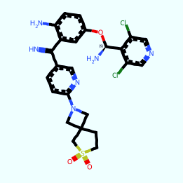 N=C(c1ccc(N2CC3(CCS(=O)(=O)C3)C2)nc1)c1cc(O[C@H](N)c2c(Cl)cncc2Cl)ccc1N